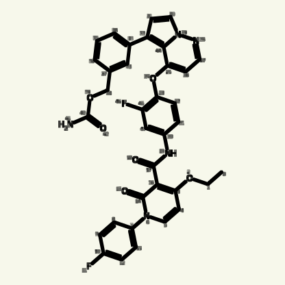 CCOc1ccn(-c2ccc(F)cc2)c(=O)c1C(=O)Nc1ccc(Oc2ccnn3ccc(-c4cccc(COC(N)=O)c4)c23)c(F)c1